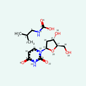 CC(C)CNC(=O)O.O=c1ccn([C@H]2C[C@H](O)[C@@H](CO)O2)c(=O)[nH]1